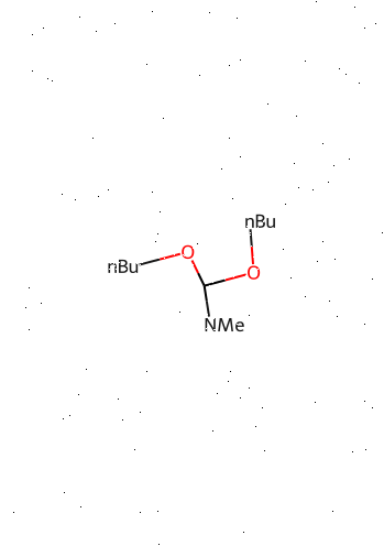 CCCCOC(NC)OCCCC